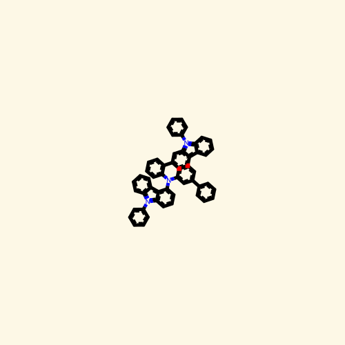 c1ccc(-c2cccc(N(c3ccccc3-c3ccc4c5ccccc5n(-c5ccccc5)c4c3)c3cccc4c3c3ccccc3n4-c3ccccc3)c2)cc1